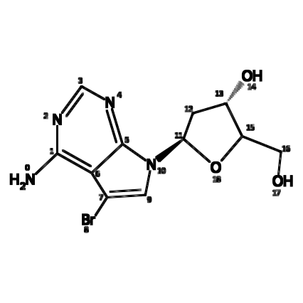 Nc1ncnc2c1c(Br)cn2[C@H]1C[C@H](O)C(CO)O1